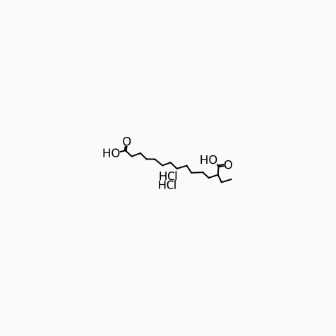 CCC(CCCCCCCCCCCC(=O)O)C(=O)O.Cl.Cl